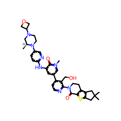 C[C@H]1CN(C2COC2)CCN1c1ccc(Nc2cc(-c3ccnc(N4CCc5c(sc6c5CC(C)(C)C6)C4=O)c3CO)cn(C)c2=O)nc1